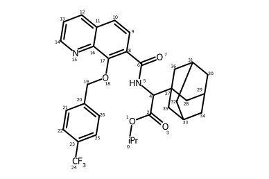 CC(C)OC(=O)C(NC(=O)c1ccc2cccnc2c1OCc1ccc(C(F)(F)F)cc1)C12CC3CC(CC(C3)C1)C2